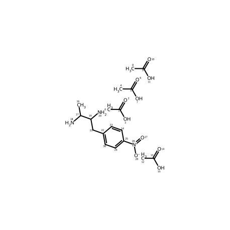 CC(=O)O.CC(=O)O.CC(=O)O.CC(=O)O.CC(N)C(N)Cc1ccc([N+](=O)[O-])cc1